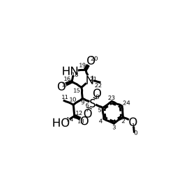 COc1ccc(S(=O)(=O)C(C(C)C(=O)O)C2C(=O)NC(=O)N2C)cc1